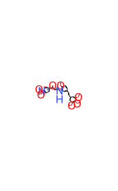 COc1ccc(C=Cc2cc(OC)c(OC)c(OC)c2)cc1NC=CC(=O)c1ccc([N+](=O)[O-])cc1